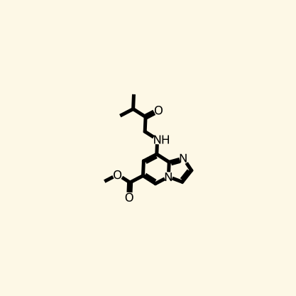 COC(=O)c1cc(NCC(=O)C(C)C)c2nccn2c1